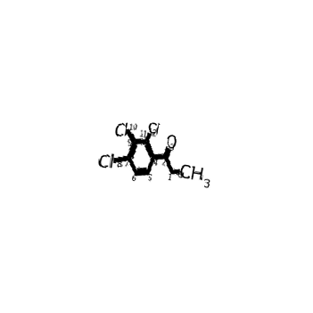 CCC(=O)c1ccc(Cl)c(Cl)c1Cl